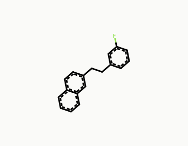 Fc1cccc(CCc2ccc3ccccc3c2)c1